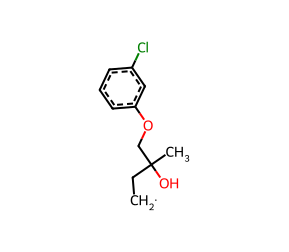 [CH2]CC(C)(O)COc1cccc(Cl)c1